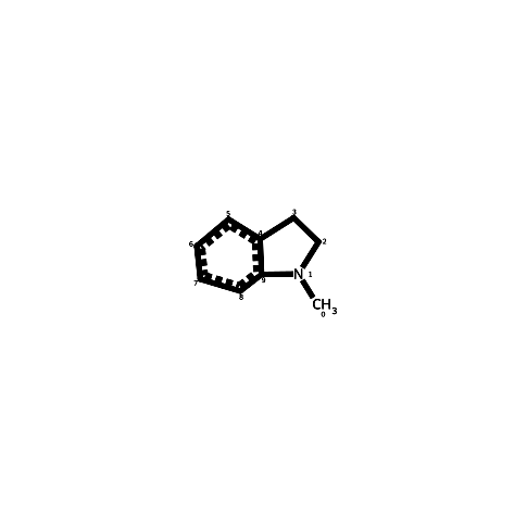 CN1CCc2c[c]ccc21